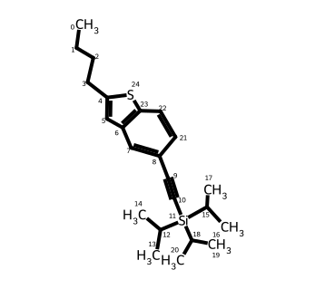 CCCCc1cc2cc(C#C[Si](C(C)C)(C(C)C)C(C)C)ccc2s1